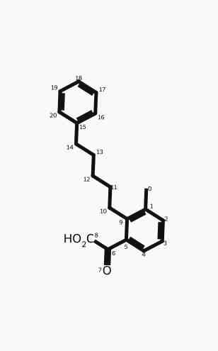 Cc1cccc(C(=O)C(=O)O)c1CCCCCc1ccccc1